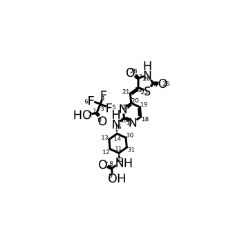 O=C(O)C(F)(F)F.O=C(O)N[C@H]1CC[C@H](Nc2nccc(/C=C3\SC(=O)NC3=O)n2)CC1